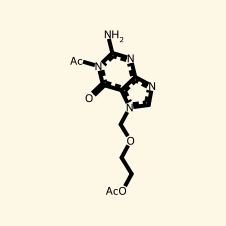 CC(=O)OCCOCn1cnc2nc(N)n(C(C)=O)c(=O)c21